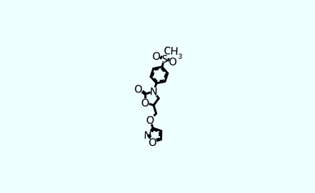 CS(=O)(=O)c1ccc(N2CC(COc3ccon3)OC2=O)cc1